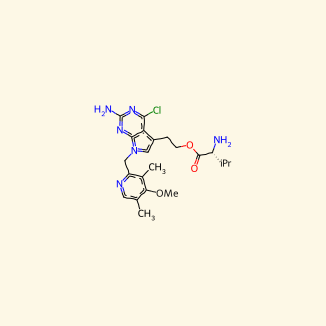 COc1c(C)cnc(Cn2cc(CCOC(=O)[C@H](N)C(C)C)c3c(Cl)nc(N)nc32)c1C